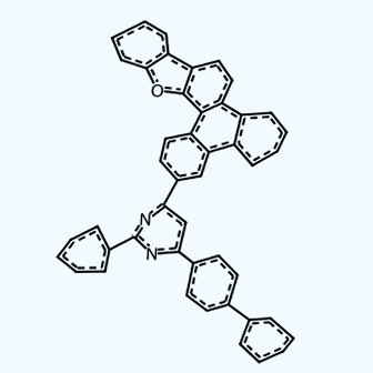 c1ccc(-c2ccc(-c3cc(-c4ccc5c(c4)c4ccccc4c4ccc6c7ccccc7oc6c45)nc(-c4ccccc4)n3)cc2)cc1